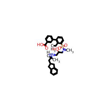 CCc1c(-c2cccc(C(=O)O)c2)cccc1S(=O)(=O)N(C)C[C@H](O)CNC(C)(C)CC1Cc2ccccc2C1